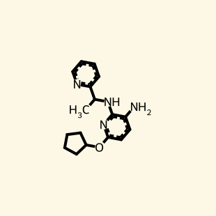 CC(Nc1nc(OC2CCCC2)ccc1N)c1ccccn1